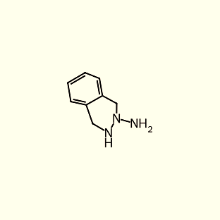 NN1Cc2ccccc2CN1